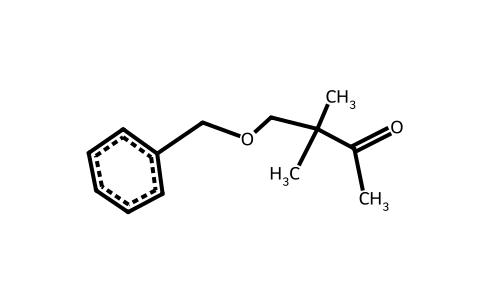 CC(=O)C(C)(C)COCc1ccccc1